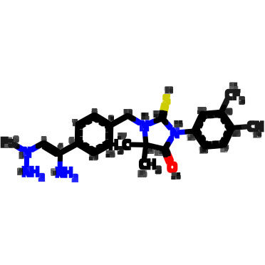 CCN(N)/C=C(\N)c1ccc(CN2C(=S)N(c3ccc(C#N)c(C(F)(F)F)c3)C(=O)C2(C)C)cc1